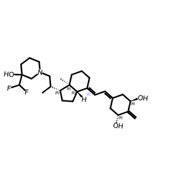 C=C1[C@H](O)CC(=C/C=C2\CCC[C@]3(C)[C@@H](C(C)CN4CCCC(O)(C(F)F)C4)CC[C@@H]23)C[C@H]1O